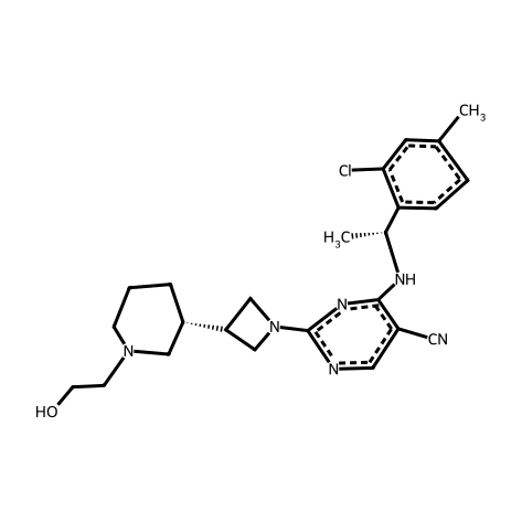 Cc1ccc([C@@H](C)Nc2nc(N3CC([C@H]4CCCN(CCO)C4)C3)ncc2C#N)c(Cl)c1